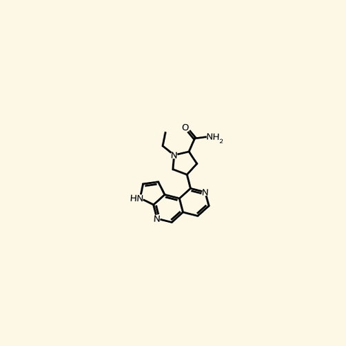 CCN1CC(c2nccc3cnc4[nH]ccc4c23)CC1C(N)=O